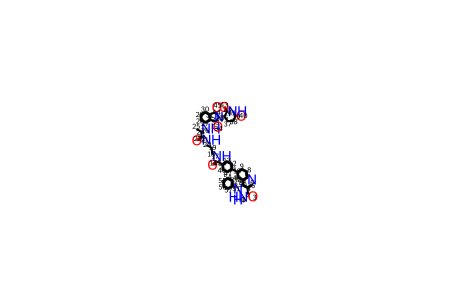 CNC(=O)c1cnc2ccc(-c3ccc(C(=O)NCCCNC(=O)C(C)Nc4cccc5c4C(=O)N(C4CCC(=O)NC4=O)C5=O)cc3)cc2c1Nc1ccccc1